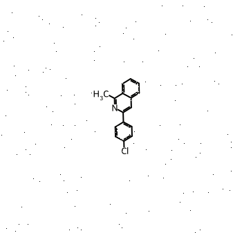 Cc1nc(-c2ccc(Cl)cc2)cc2ccccc12